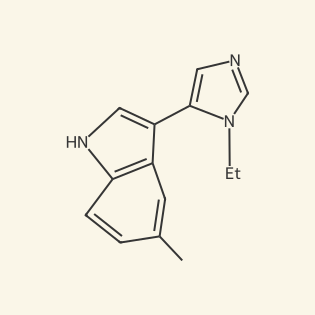 CCn1cncc1-c1c[nH]c2ccc(C)cc12